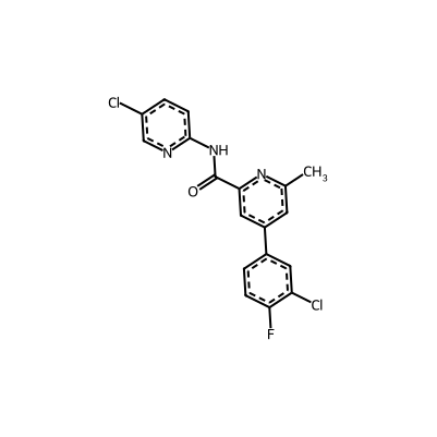 Cc1cc(-c2ccc(F)c(Cl)c2)cc(C(=O)Nc2ccc(Cl)cn2)n1